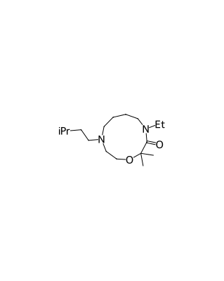 CCN1CCCCN(CCC(C)C)CCOC(C)(C)C1=O